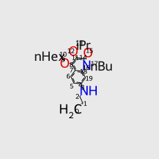 C=CCNc1ccc2c(OCCCCCC)c(OC(C)C)c(=O)n(CCCC)c2c1